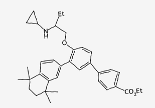 CCOC(=O)c1ccc(-c2ccc(OCC(CC)NC3CC3)c(-c3ccc4c(c3)C(C)(C)CCC4(C)C)c2)cc1